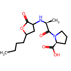 CCCCC1CC(N[C@@H](C)C(=O)N2CCC[C@H]2C(=O)O)C(=O)O1